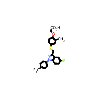 Cc1cc(SCc2nn(-c3ccc(C(F)(F)F)cc3)c3ccc(F)cc23)ccc1OCC(=O)O